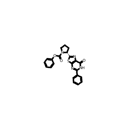 O=C(Oc1ccccc1)N1CCC[C@@H]1c1nc2c(=O)[nH]c(-c3ccccc3)nc2s1